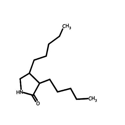 CCCCCC1CNC(=O)C1CCCCC